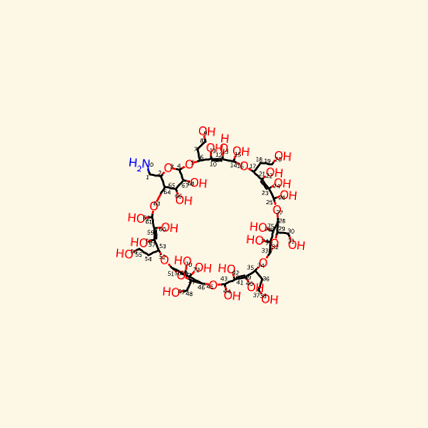 NCC1OC2OC(CCO)/C(O)=C(/O)C(O)OC(CCO)/C(O)=C(/O)C(O)OC3C(CO)OC(OC(CCO)/C(O)=C(\O)C(O)OC4C(CO)OC(OC(CCO)/C(O)=C(\O)C(O)OC1C(O)C2O)C(O)C4O)C(O)C3O